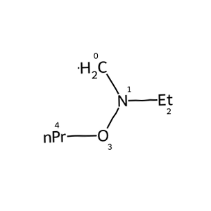 [CH2]N(CC)OCCC